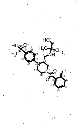 CC(C)(CO)NC[C@H]1CN(S(=O)(=O)C2=CC=CCC2=S)CCN1c1ccc([C@@](C)(O)C(F)(F)F)cc1